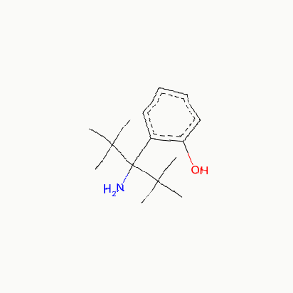 CC(C)(C)C(N)(c1ccccc1O)C(C)(C)C